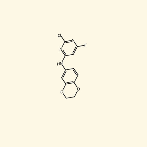 Fc1cc(Nc2ccc3c(c2)OCCO3)nc(Cl)n1